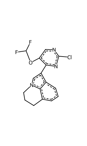 FC(F)Oc1cnc(Cl)nc1-c1cn2c3c(cccc13)CCC2